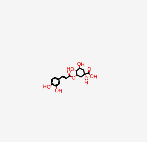 O=C(C=Cc1ccc(O)c(O)c1)O[C@@H]1C[C@](O)(C(=O)O)C[C@H](O)[C@H]1O